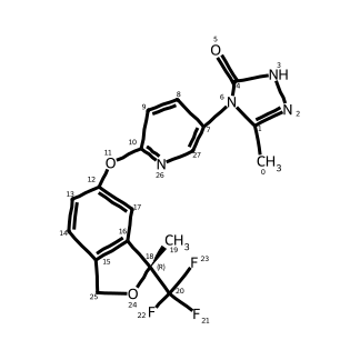 Cc1n[nH]c(=O)n1-c1ccc(Oc2ccc3c(c2)[C@](C)(C(F)(F)F)OC3)nc1